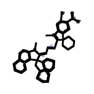 CN1/C(=C\C=C\C2=[N+](C)c3cc(Br)c([N+](=O)[O-])cc3C23CCCCC3)C(Cc2ccccc2)(c2ccccc2)c2c1ccc1ccccc21